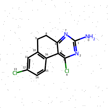 Nc1nc(Cl)c2c(n1)CCc1cc(Cl)ccc1-2